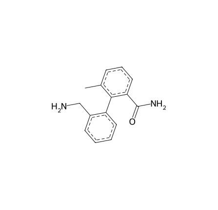 Cc1cccc(C(N)=O)c1-c1ccccc1CN